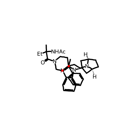 CCC(C)(NC(C)=O)C(=O)N1CCC(CCN2[C@@H]3CC[C@H]2C[C@@H](n2c(C)nc4ccccc42)C3)(c2ccccc2)CC1